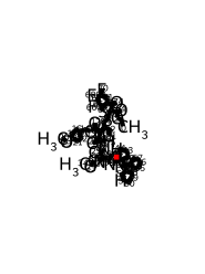 CCOC(=O)c1c(SCC2=C(C(=O)OCc3ccc(OC)cc3)N3C(=O)C(NC(=O)/C(=N\OOC)c4csc(NC(c5ccccc5)(c5ccccc5)c5ccccc5)n4)[C@@H]3SC2)sc2c(F)c(F)c(F)cc2c1=O